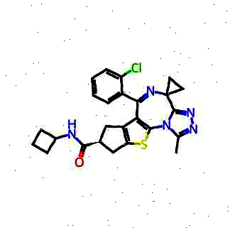 Cc1nnc2n1-c1sc3c(c1C(c1ccccc1Cl)=NC21CC1)C[C@H](C(=O)NC1CCC1)C3